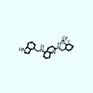 FC(F)(F)Oc1ccccc1CNc1ccc2c(NCc3cccc4[nH]ccc34)cccc2n1